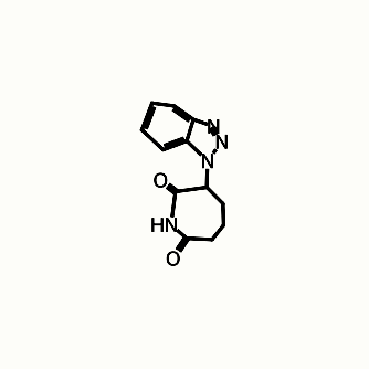 O=C1CCCC(n2nnc3ccccc32)C(=O)N1